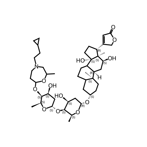 CC1CN(CCC2CC2)CCC(O[C@@H]2[C@H](C)O[C@@H](O[C@@H]3[C@H](C)O[C@@H](O[C@H]4CC[C@@]5(C)C(CCC6[C@H]5C[C@H](O)[C@]5(C)[C@@H](C7=CC(=O)OC7)CC[C@]65O)C4)C[C@@H]3O)C[C@@H]2O)O1